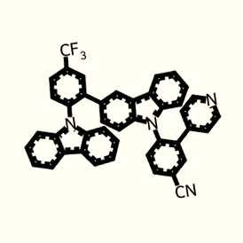 N#Cc1ccc(-n2c3ccccc3c3cc(-c4cc(C(F)(F)F)ccc4-n4c5ccccc5c5ccccc54)ccc32)c(-c2ccncc2)c1